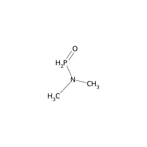 CN(C)[PH2]=O